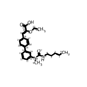 CCCCCNC(=O)N(C)c1cccc(-c2ccc(C=C(OCC)C(=O)O)cc2)c1